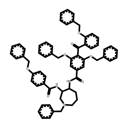 O=C(NC1CCCN(Cc2ccccc2)CC1NC(=O)c1ccc(OCc2ccccc2)cc1)c1cc(OCc2ccccc2)c(C(=O)c2ccccc2OCc2ccccc2)c(OCc2ccccc2)c1